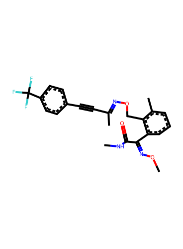 CNC(=O)/C(=N/OC)c1cccc(C)c1CO/N=C(\C)C#Cc1ccc(C(F)(F)F)cc1